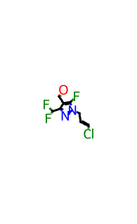 O=Cc1c(C(F)F)nn(CC=CCl)c1F